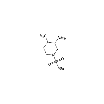 CCCCS(=O)(=O)N1CCC(C)C(NC)C1